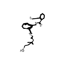 CCc1ccccc1C(=O)SCc1ccccc1CSCCCC(C)(C)CCS